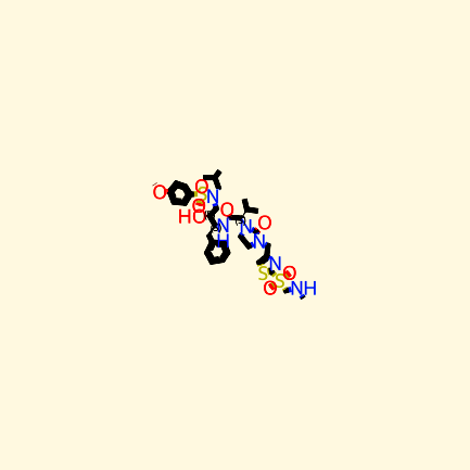 CNCS(=O)(=O)c1nc(CN2CCN([C@H](C(=O)N[C@@H](Cc3ccccc3)[C@H](O)CN(CC(C)C)S(=O)(=O)c3ccc(OC)cc3)C(C)C)C2=O)cs1